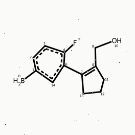 Bc1ccc(F)c(C2=C(CO)CCC2)c1